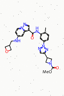 COC(=O)N1CC(c2cnn(-c3ccc(C)c(NC(=O)c4cnn5ccc(NCC6COC6)cc45)c3)n2)C1